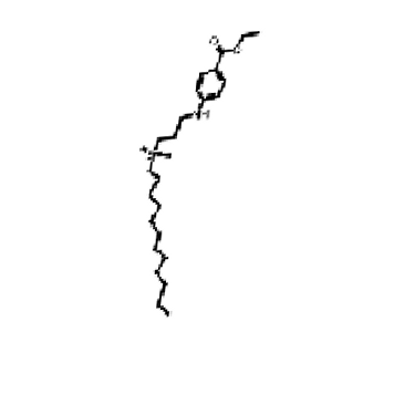 CCCCCCCCCCCC[Si](C)(C)CCCNc1ccc(C(=O)OCC)cc1